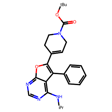 CC(C)Nc1ncnc2oc(C3=CCN(C(=O)OC(C)(C)C)CC3)c(-c3ccccc3)c12